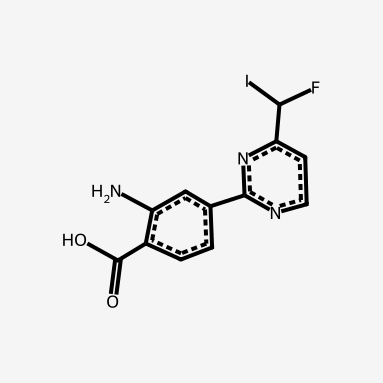 Nc1cc(-c2nccc(C(F)I)n2)ccc1C(=O)O